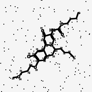 CCCCOC(=O)Nc1cn2c(cc1=O)-c1cc(Cl)c(OCCCOC)cc1CC2CCCC